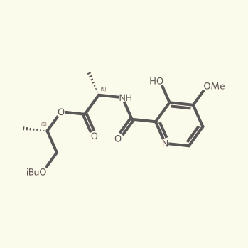 COc1ccnc(C(=O)N[C@@H](C)C(=O)O[C@@H](C)COCC(C)C)c1O